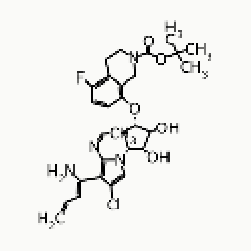 C=C/C=C(\N)c1c(Cl)cn([C@@H]2C[C@H](Oc3ccc(F)c4c3CN(C(=O)OC(C)(C)C)CC4)[C@@H](O)[C@H]2O)c1/N=C\C